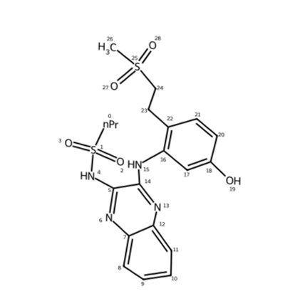 CCCS(=O)(=O)Nc1nc2ccccc2nc1Nc1cc(O)ccc1CCS(C)(=O)=O